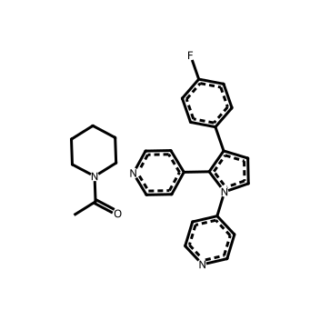 CC(=O)N1CCCCC1.Fc1ccc(-c2ccn(-c3ccncc3)c2-c2ccncc2)cc1